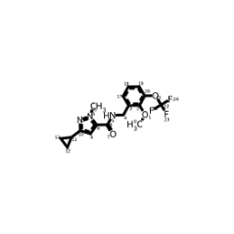 COc1c(CNC(=O)c2cc(C3CC3)nn2C)cccc1OC(F)(F)F